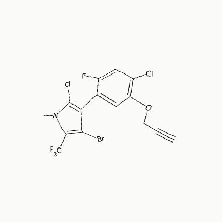 C#CCOc1cc(-c2c(Br)c(C(F)(F)F)n(C)c2Cl)c(F)cc1Cl